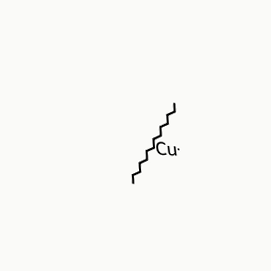 CCCCCCCCCCCCCC.[Cu]